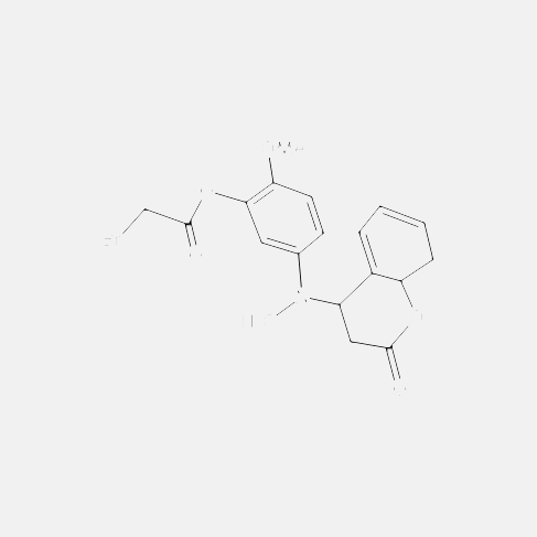 COc1ccc(N(C)C2CC(=O)OC3CC=CC=C32)cc1OC(=O)CBr